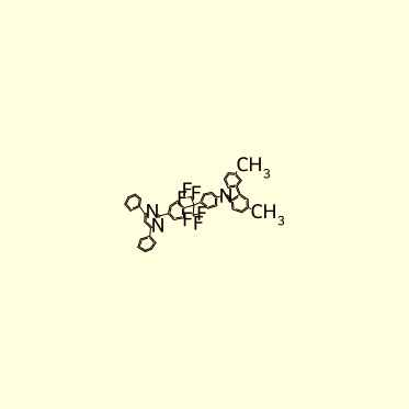 Cc1ccc2c(c1)c1cc(C)ccc1n2-c1ccc(C(c2ccc(-c3nc(-c4ccccc4)cc(-c4ccccc4)n3)cc2)(C(F)(F)F)C(F)(F)F)cc1